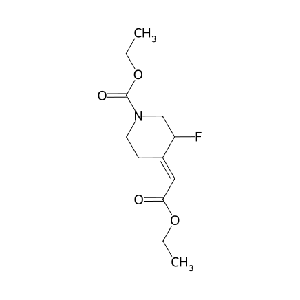 CCOC(=O)C=C1CCN(C(=O)OCC)CC1F